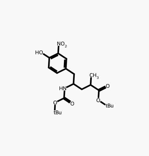 CC(CC(Cc1ccc(O)c([N+](=O)[O-])c1)NC(=O)OC(C)(C)C)C(=O)OC(C)(C)C